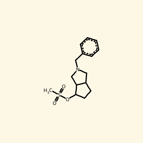 CS(=O)(=O)OC1CCC2CN(Cc3ccccc3)CC21